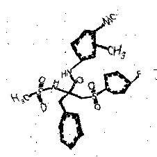 [C-]#[N+]c1ccc(NC(=O)[C@](Cc2ccccc2)(CS(=O)(=O)c2ccc(F)cc2)NS(C)(=O)=O)cc1C